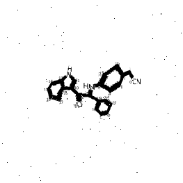 N#CCc1ccc(NC(C(=O)c2c[nH]c3ccccc23)c2ccccc2)cc1